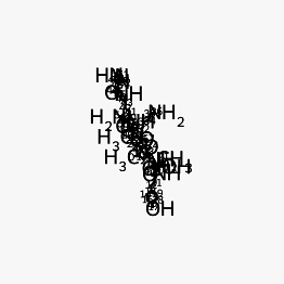 CC1C[C@H](NC(=O)[C@@H](NC(=O)CCc2ccc(O)cc2)[C@H](C)O)C(=O)N1[C@H]1CC(C)N([C@@H](CCCCN)C(=O)NC(CCCCNC(=O)c2c[nH]nn2)C(N)=O)C1=O